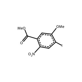 COC(=O)c1cc(OC)c(I)cc1[N+](=O)[O-]